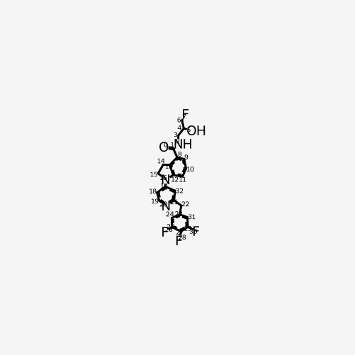 O=C(NCC(O)CF)c1cccc2c1CCN2c1ccnc(Cc2cc(F)c(F)c(F)c2)c1